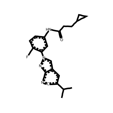 CC(C)c1cnc2nn(-c3cc(NC(=O)CCC4CC4)ccc3F)cc2c1